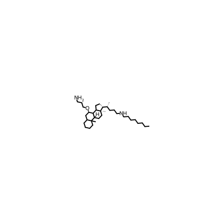 CCCCCCCCNCCC[C@@H](C)[C@H]1CCC2C3[C@H](OCCCN)CC4CCCCC4(C)[C@H]3CC[C@@]21C